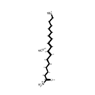 CC(C)(C)CCCCCCCCCCCCCCCCC(N)=O.Cl